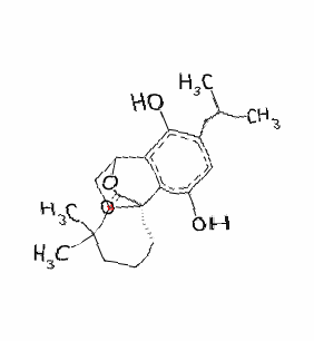 CC(C)c1cc(O)c2c(c1O)C1CC3C(C)(C)CCC[C@]23C(=O)O1